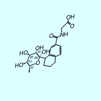 C[C@@H]1O[C@](O)(C2CCCc3ccc(C(=O)NCC(=O)O)cc32)[C@@H](O)[C@H](O)[C@@H]1O